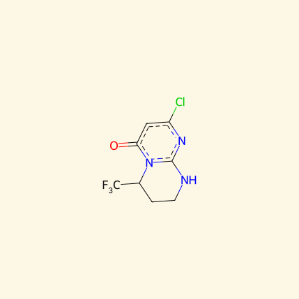 O=c1cc(Cl)nc2n1C(C(F)(F)F)CCN2